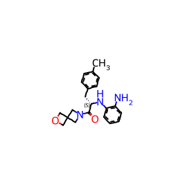 Cc1ccc(C[C@H](Nc2ccccc2N)C(=O)N2CC3(COC3)C2)cc1